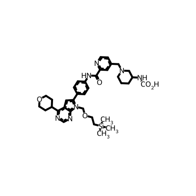 C[Si](C)(C)CCOCn1c(-c2ccc(NC(=O)c3cc(CN4CCCC(NC(=O)O)C4)ccn3)cc2)cc2c(C3CCOCC3)ncnc21